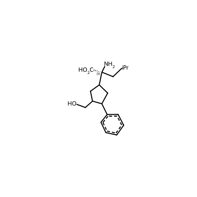 CC(C)C[C@@](N)(C(=O)O)C1CC(CO)C(c2ccccc2)C1